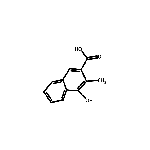 Cc1c(C(=O)O)cc2ccccc2c1O